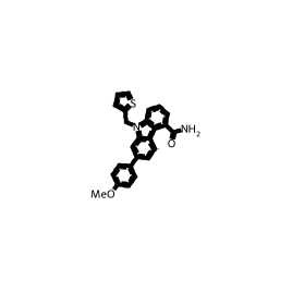 COc1ccc(-c2c[c]c3c4c(C(N)=O)cccc4n(Cc4cccs4)c3c2)cc1